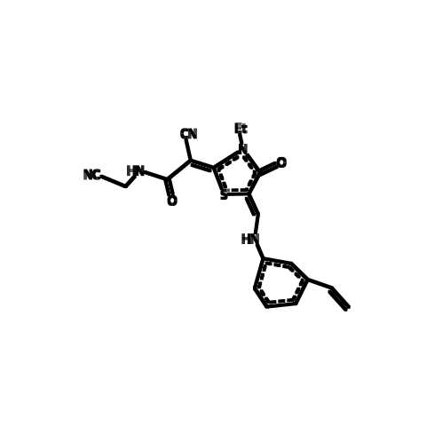 C=Cc1cccc(NC=c2sc(=C(C#N)C(=O)NCC#N)n(CC)c2=O)c1